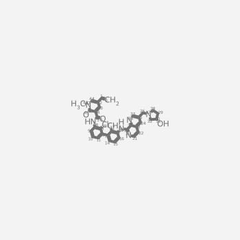 C=Cc1cc(C(=O)Nc2cccc(-c3cccc(Nc4nccc5cc(CN6CCC(O)C6)cnc45)c3C)c2Cl)c(=O)n(C)c1